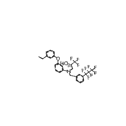 CCc1cccc(Oc2cccc(N(Cc3cccc(C(F)(F)C(F)(F)C(F)(F)F)c3)C[C@@H](O)C(F)(F)F)c2)c1